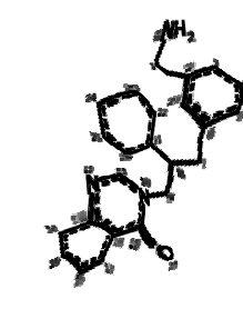 NCc1cccc(CC(Cn2cnc3ccccc3c2=O)c2ccccc2)c1